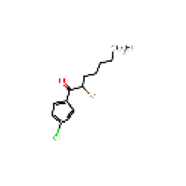 CCOC(=O)CCCCC(Br)C(=O)c1ccc(Cl)cc1